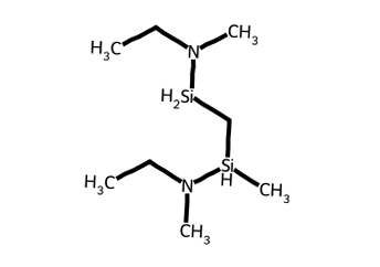 CCN(C)[SiH2]C[SiH](C)N(C)CC